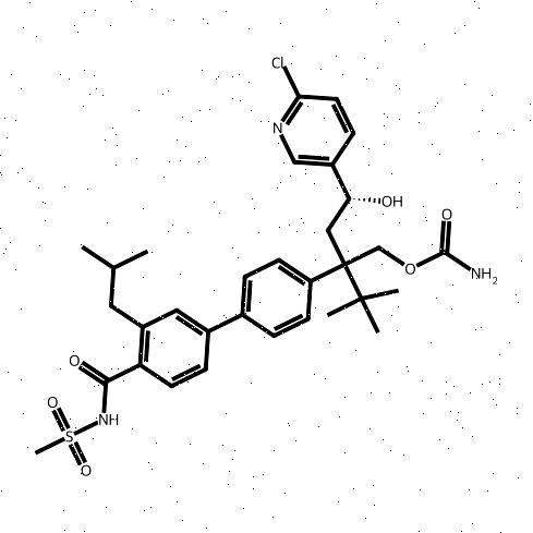 CC(C)Cc1cc(-c2ccc(C(COC(N)=O)(C[C@@H](O)c3ccc(Cl)nc3)C(C)(C)C)cc2)ccc1C(=O)NS(C)(=O)=O